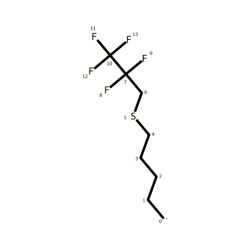 [CH2]CCCCSCC(F)(F)C(F)(F)F